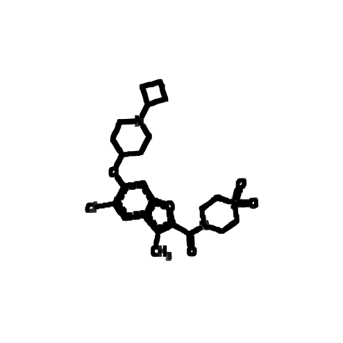 Cc1c(C(=O)N2CCS(=O)(=O)CC2)oc2cc(OC3CCN(C4CCC4)CC3)c(Cl)cc12